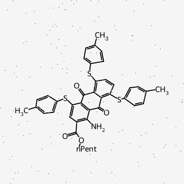 CCCCCOC(=O)c1cc(Sc2ccc(C)cc2)c2c(c1N)C(=O)c1c(Sc3ccc(C)cc3)ccc(Sc3ccc(C)cc3)c1C2=O